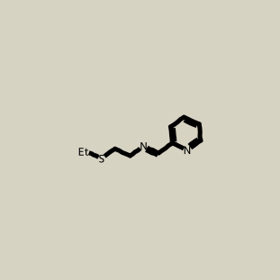 CCSCC/N=C/c1ccccn1